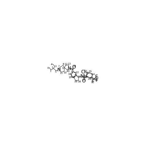 CCC(CC)CN1CCC2(CC1)CCN(C(=O)c1ccc3c(c1)C(NC(=O)c1cc(C(F)(F)F)ccc1Cl)CC3)C2